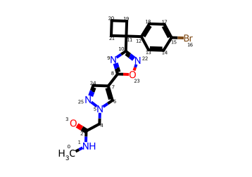 CNC(=O)Cn1cc(-c2nc(C3(c4ccc(Br)cc4)CCC3)no2)cn1